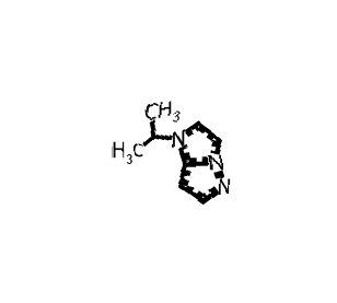 CC(C)n1ccn2nccc12